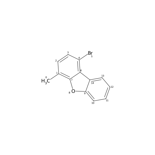 Cc1ccc(Br)c2c1oc1ccccc12